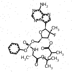 CC(C)OC(=O)[C@H](C)NP(=O)(OC[C@H]1O[C@@H](c2cnc3c(N)ncnn23)[C@](C)(F)[C@@H]1OC(=O)C(C)C)Oc1ccccc1